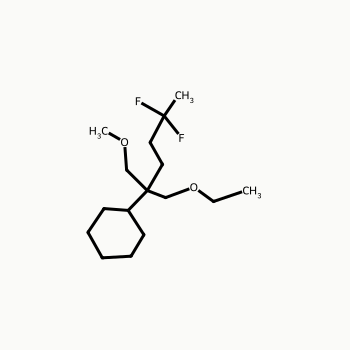 CCOCC(CCC(C)(F)F)(COC)C1CCCCC1